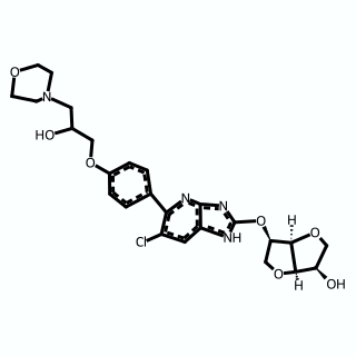 OC(COc1ccc(-c2nc3nc(O[C@@H]4CO[C@H]5[C@@H]4OC[C@H]5O)[nH]c3cc2Cl)cc1)CN1CCOCC1